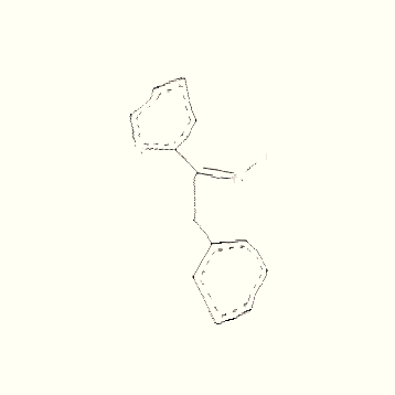 ON=C(Cc1ccccc1)c1ccccn1